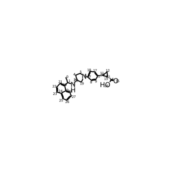 CC(N[C@H]1CCN(c2ccc([C@H]3C[C@@H]3C(=O)O)cc2)C1)c1cccc2ccccc12